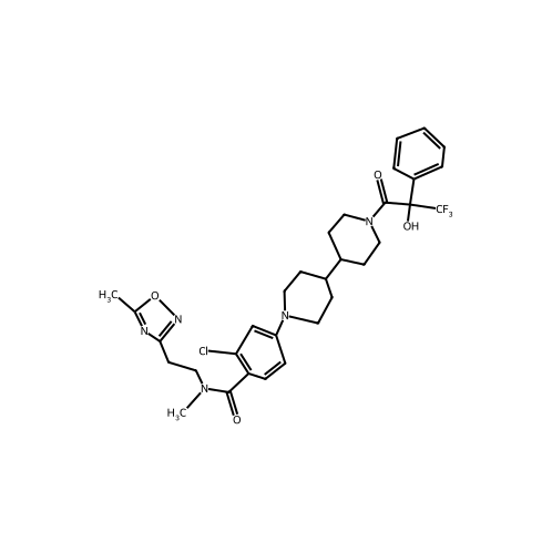 Cc1nc(CCN(C)C(=O)c2ccc(N3CCC(C4CCN(C(=O)C(O)(c5ccccc5)C(F)(F)F)CC4)CC3)cc2Cl)no1